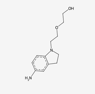 Nc1ccc2c(c1)CCN2CCOCCO